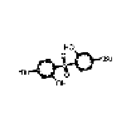 CC(C)(C)c1ccc(S(=O)(=O)c2ccc(C(C)(C)C)cc2O)c(O)c1